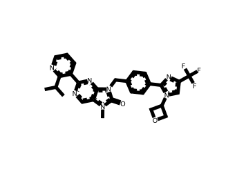 CC(C)c1ncccc1-c1ncc2c(n1)n(Cc1ccc(-c3nc(C(F)(F)F)cn3C3COC3)cc1)c(=O)n2C